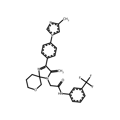 C=C1C(c2ccc(-n3cnc(C)c3)cc2)=NC2(CCCOC2)N1CC(=O)Nc1cccc(C(F)(F)F)c1